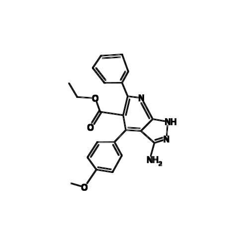 CCOC(=O)c1c(-c2ccccc2)nc2[nH]nc(N)c2c1-c1ccc(OC)cc1